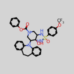 N=S(=O)(NC1CN(C(=O)Oc2ccccc2)CC(N2c3ccccc3CCc3ccccc32)C1O)c1ccc(OC(F)(F)F)cc1